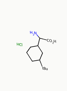 CC(C)(C)C1CCCC(C(N)C(=O)O)C1.Cl